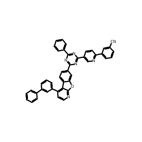 N#Cc1cccc(-c2ccc(-c3nc(-c4ccccc4)nc(-c4ccc5c(c4)oc4nccc(-c6cccc(-c7ccccc7)c6)c45)n3)cn2)c1